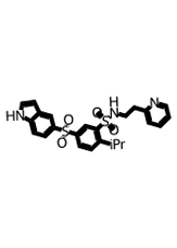 CC(C)c1ccc(S(=O)(=O)c2ccc3[nH]ccc3c2)cc1S(=O)(=O)NCCc1ccccn1